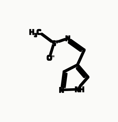 C[S+]([O-])/N=C\c1cn[nH]c1